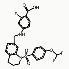 O=C(O)c1ccc(NCc2ccc3c(c2)N(S(=O)(=O)c2ccc(OC(F)F)cc2)CCC3)cc1F